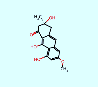 COc1cc(O)c2c(O)c3c(cc2c1)C[C@](C)(O)CC3=O